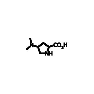 CN(C)C1CNC(C(=O)O)C1